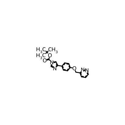 CC(C)(C)OC(=O)n1cnc(-c2ccc(OCc3cccnn3)cc2)c1